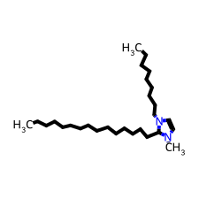 CCCCCCCCCCCCCCCC1N(C)C=CN1CCCCCCCCC